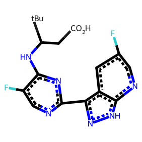 CC(C)(C)C(CC(=O)O)Nc1nc(-c2n[nH]c3ncc(F)cc23)ncc1F